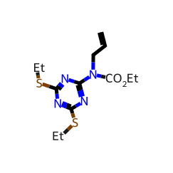 C=CCN(C(=O)OCC)c1nc(SCC)nc(SCC)n1